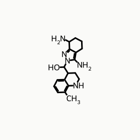 Cc1cccc2c1NCCC2C(O)n1nc2c(c1N)CCCC2N